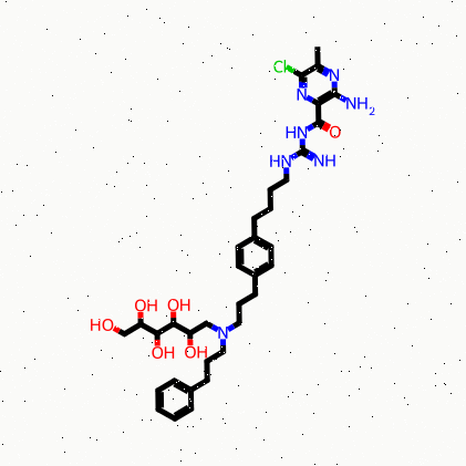 Cc1nc(N)c(C(=O)NC(=N)NCCCCc2ccc(CCCN(CCCc3ccccc3)CC(O)C(O)C(O)C(O)CO)cc2)nc1Cl